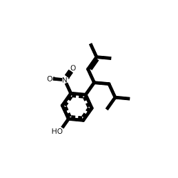 CC(C)=CC(CC(C)C)c1ccc(O)cc1[N+](=O)[O-]